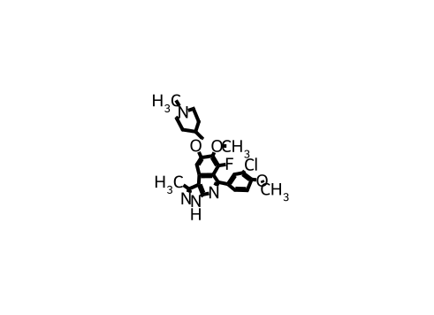 COc1ccc(-c2nc3[nH]nc(C)c3c3cc(OCC4CCN(C)CC4)c(OC)c(F)c23)cc1Cl